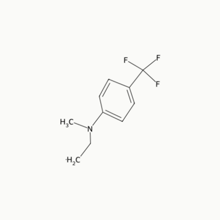 [CH2]CN(C)c1ccc(C(F)(F)F)cc1